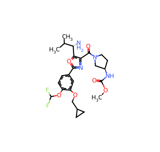 COC(=O)N[C@@H]1CCN(C(=O)c2nc(-c3ccc(OC(F)F)c(OCC4CC4)c3)oc2[C@@H](N)C(C)C)C1